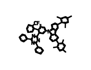 Cc1cc(C)c(-c2ccc3c(c2)c2cc(-c4c(C)cc(C)cc4C)ccc2n3-c2ccc(-c3ccccc3C(F)(F)F)c(-c3nc(-c4ccccc4)nc(-c4ccccc4)n3)c2)c(C)c1